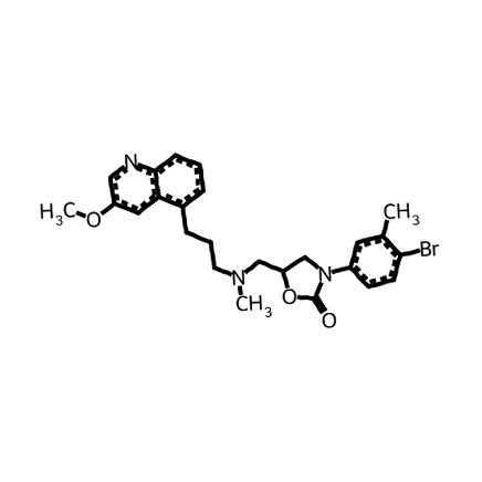 COc1cnc2cccc(CCCN(C)CC3CN(c4ccc(Br)c(C)c4)C(=O)O3)c2c1